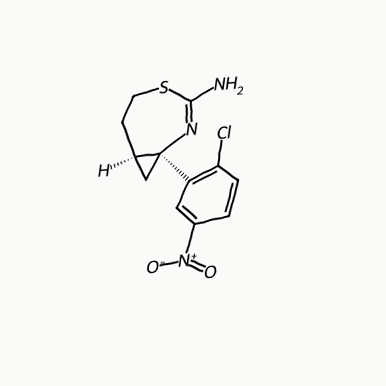 NC1=N[C@@]2(c3cc([N+](=O)[O-])ccc3Cl)C[C@H]2CCS1